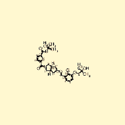 CC(C)(O)COc1cccc(CO[C@H]2C[C@@H]3CN(C(=O)n4ccc(C(=O)OC(C)(C)C)n4)C[C@@H]3C2)c1Cl